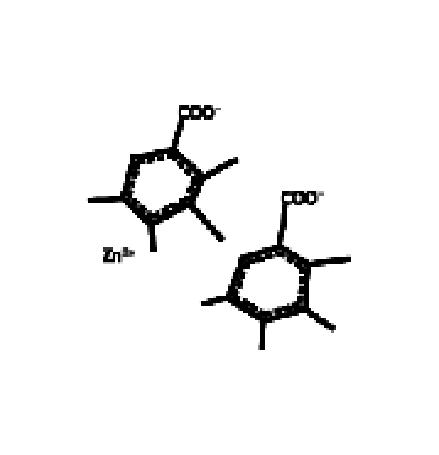 Cc1cc(C(=O)[O-])c(C)c(C)c1C.Cc1cc(C(=O)[O-])c(C)c(C)c1C.[Zn+2]